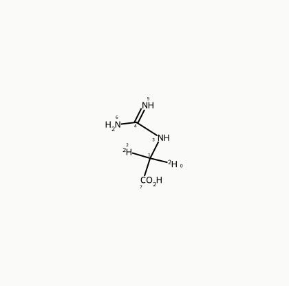 [2H]C([2H])(NC(=N)N)C(=O)O